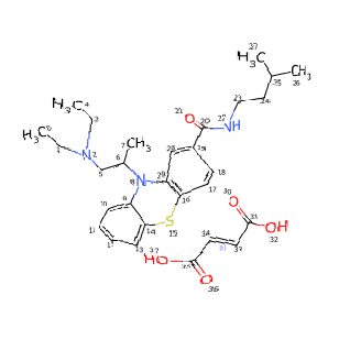 CCN(CC)CC(C)N1c2ccccc2Sc2ccc(C(=O)NCCC(C)C)cc21.O=C(O)/C=C/C(=O)O